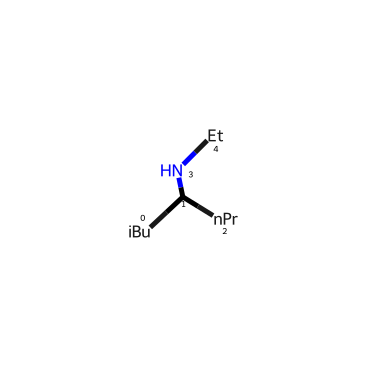 [CH2]C(CC)C(CCC)NCC